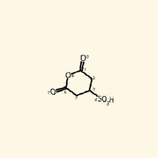 O=C1CC(S(=O)(=O)O)CC(=O)O1